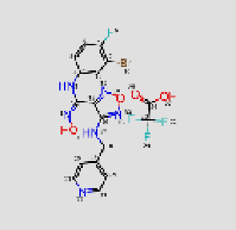 O/N=C(/Nc1ccc(F)c(Br)c1)c1nonc1NCc1ccncc1.O=C(O)C(F)(F)F